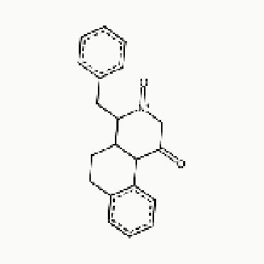 O=C1C[N+](=O)C(Cc2ccccc2)C2CCc3ccccc3C12